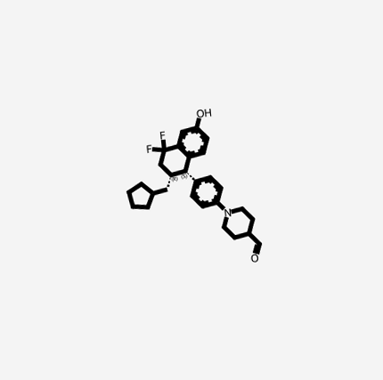 O=CC1CCN(c2ccc([C@H]3c4ccc(O)cc4C(F)(F)C[C@H]3CC3CCCC3)cc2)CC1